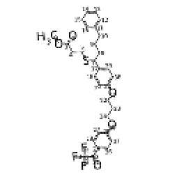 COC(=O)CCSC(CCCc1ccccc1)c1ccc(OCCCOc2ccc(C(=O)C(F)(F)F)cc2)cc1